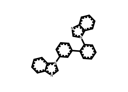 c1cc(-c2ccccc2-n2cnc3ccccc32)cc(-n2cnc3ccccc32)c1